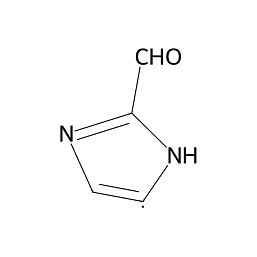 O=Cc1nc[c][nH]1